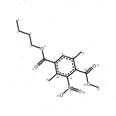 CCCCOC(=O)c1cc(C)c(C(=O)OC)c([N+](=O)[O-])c1C